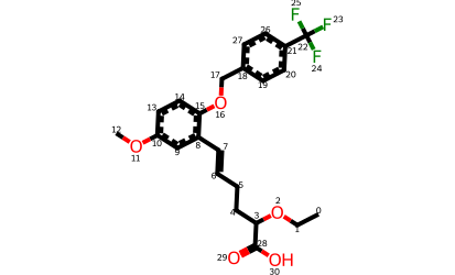 CCOC(CCC=Cc1cc(OC)ccc1OCc1ccc(C(F)(F)F)cc1)C(=O)O